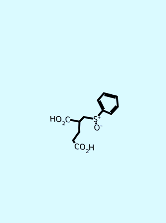 O=C(O)CCC(C[S+]([O-])c1ccccc1)C(=O)O